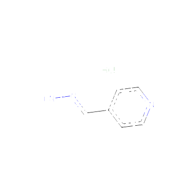 Cl.NN=Cc1ccncc1